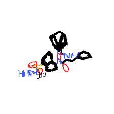 CC(C)(C)NS(=O)(=O)c1cccc2c(NC(=O)C(Cc3ccccc3)NC(=O)C34CC5CC(CC(C5)C3)C4)cccc12